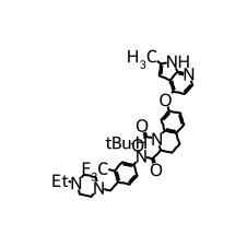 CCN1CCN(Cc2ccc(NC(=O)C3CCc4ccc(Oc5ccnc6[nH]c(C)cc56)cc4N3C(=O)OC(C)(C)C)cc2C(F)(F)F)CC1